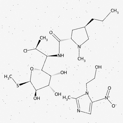 CCC[C@@H]1C[C@@H](C(=O)N[C@@H]([C@H]2O[C@H](SC)[C@H](O)[C@@H](O)[C@H]2O)[C@H](C)Cl)N(C)C1.Cc1ncc([N+](=O)[O-])n1CCO